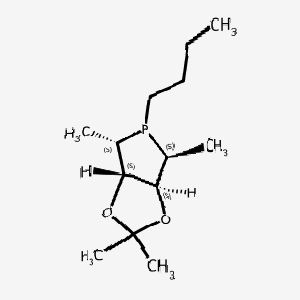 CCCCP1[C@@H](C)[C@H]2OC(C)(C)O[C@@H]2[C@@H]1C